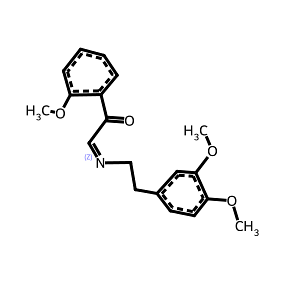 COc1ccc(CC/N=C\C(=O)c2ccccc2OC)cc1OC